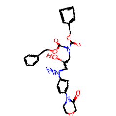 O=C(OCc1ccccc1)N(C[C@H](O)CNc1ccc(N2CCOCC2=O)cc1)C(=O)OCc1ccccc1